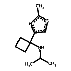 Cc1nc(C2(NC(C)C)CCC2)cs1